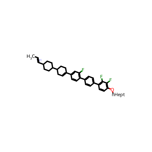 C/C=C/C1CCC(C2CC=C(c3ccc(-c4ccc(-c5ccc(OCCCCCCC)c(F)c5F)cc4)c(F)c3)CC2)CC1